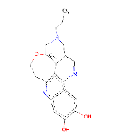 N#CCCN1CCCC(/C=N\c2c3c(nc4cc(O)c(O)cc24)CCOCC3)C1